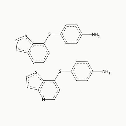 Nc1ccc(Sc2ccnc3ccsc23)cc1.Nc1ccc(Sc2ccnc3ccsc23)cc1